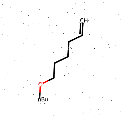 [CH]=CCCCCOCCCC